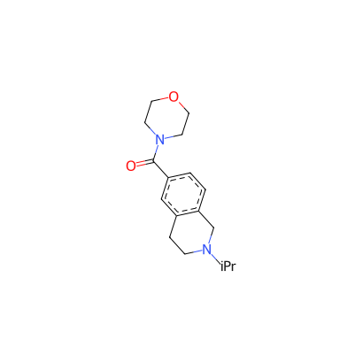 CC(C)N1CCc2cc(C(=O)N3CCOCC3)ccc2C1